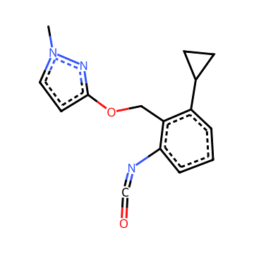 Cn1ccc(OCc2c(N=C=O)cccc2C2CC2)n1